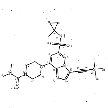 CN(C)C(=O)N1CCN(c2cc(S(=O)(=O)NC3(C)CC3)cn3c(C#C[Si](C)(C)C)cnc23)CC1